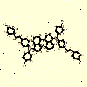 Cc1ccc(/C=C/c2ccc(N(c3ccc(C)cc3)c3ccc4c5cccc6c(N(c7ccc(C)cc7)c7ccc(/C=C/c8ccc(C)cc8)cc7)ccc(c7cccc3c74)c65)cc2)cc1